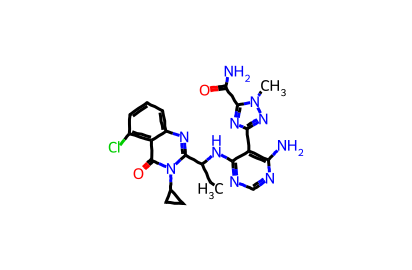 CCC(Nc1ncnc(N)c1-c1nc(C(N)=O)n(C)n1)c1nc2cccc(Cl)c2c(=O)n1C1CC1